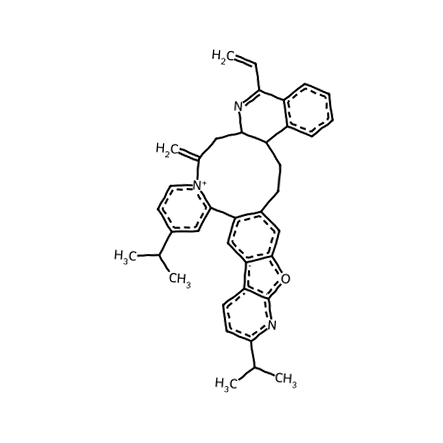 C=CC1=NC2CC(=C)[n+]3ccc(C(C)C)cc3-c3cc4c(cc3CCC2c2ccccc21)oc1nc(C(C)C)ccc14